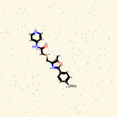 CSc1ccc(-c2nc(CSCC(=O)Nc3ccncc3)c(C)o2)cc1